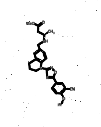 COC(=O)C[C@@H](C)NCc1ccc2c(c1)CCCN2c1noc(-c2ccc(OC(C)C)c(C#N)c2)n1